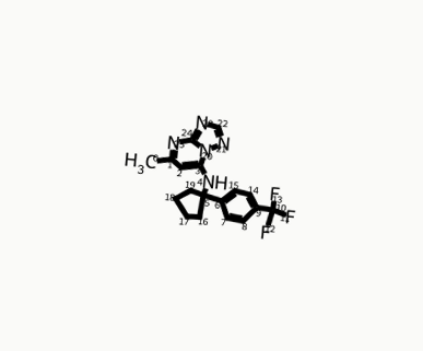 Cc1cc(NC2(c3ccc(C(F)(F)F)cc3)CCCC2)n2ncnc2n1